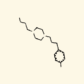 SCCCN1CCN(CCCc2ccc(Cl)cc2)CC1